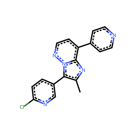 Cc1nc2c(-c3ccncc3)ccnn2c1-c1ccc(Cl)nc1